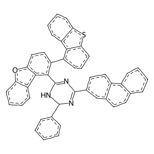 c1ccc(C2N=C(c3ccc4c(ccc5ccccc54)c3)N=C(c3c(-c4cccc5sc6ccccc6c45)ccc4oc5ccccc5c34)N2)cc1